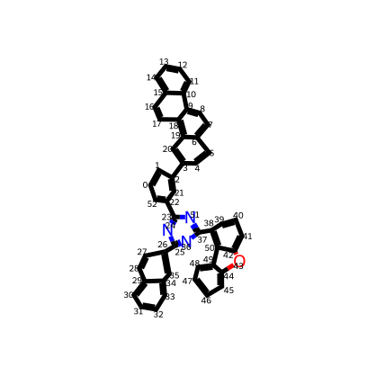 c1cc(-c2ccc3ccc4c5ccccc5ccc4c3c2)cc(-c2nc(-c3ccc4ccccc4c3)nc(-c3cccc4oc5ccccc5c34)n2)c1